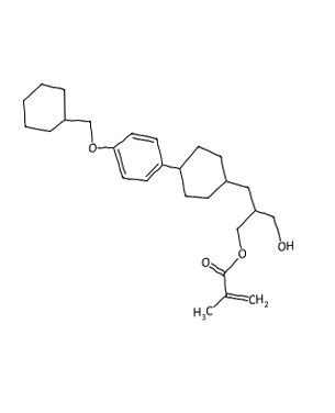 C=C(C)C(=O)OCC(CO)CC1CCC(c2ccc(OCC3CCCCC3)cc2)CC1